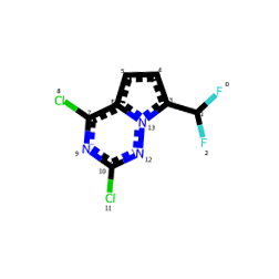 FC(F)c1ccc2c(Cl)nc(Cl)nn12